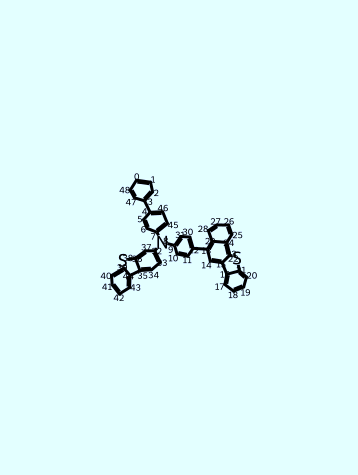 c1ccc(-c2ccc(N(c3ccc(-c4cc5c6ccccc6sc5c5ccccc45)cc3)c3ccc4c(c3)sc3ccccc34)cc2)cc1